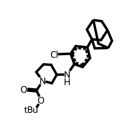 CC(C)(C)OC(=O)N1CCCC(Nc2ccc(C34CC5CC(CC(C5)C3)C4)cc2Cl)C1